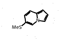 CSc1ccc2cccn2c1